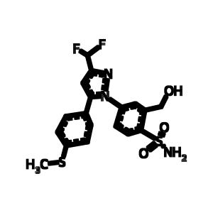 CSc1ccc(-c2cc(C(F)F)nn2-c2ccc(S(N)(=O)=O)c(CO)c2)cc1